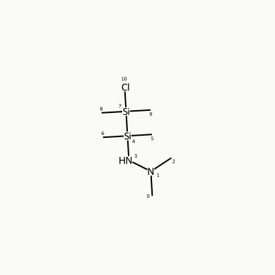 CN(C)N[Si](C)(C)[Si](C)(C)Cl